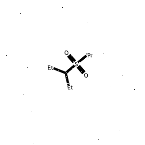 CCC(CC)S(=O)(=O)C(C)C